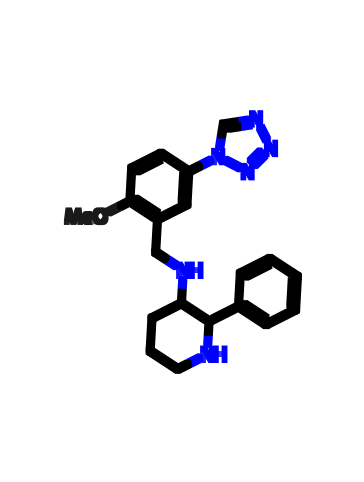 COc1ccc(-n2cnnn2)cc1CNC1CCCNC1c1ccccc1